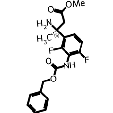 COC(=O)C[C@](C)(N)c1ccc(F)c(NC(=O)OCc2ccccc2)c1F